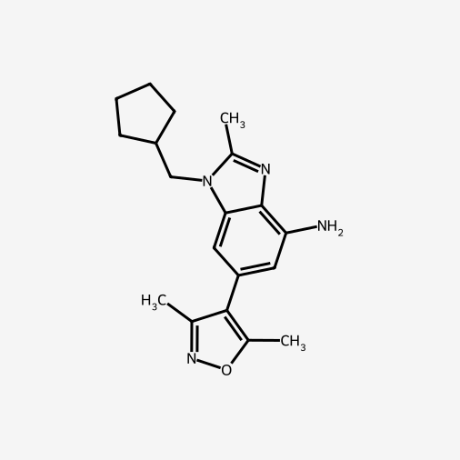 Cc1noc(C)c1-c1cc(N)c2nc(C)n(CC3CCCC3)c2c1